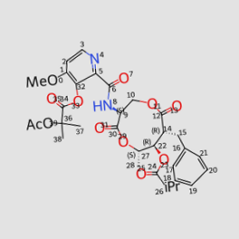 COc1ccnc(C(=O)N[C@H]2COC(=O)[C@H](Cc3ccccc3)[C@@H](OC(=O)C(C)C)[C@H](C)OC2=O)c1OC(=O)C(C)(C)OC(C)=O